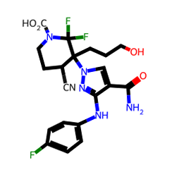 N#CC1CCN(C(=O)O)C(F)(F)C1(CCCO)n1cc(C(N)=O)c(Nc2ccc(F)cc2)n1